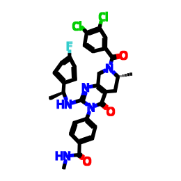 CNC(=O)c1ccc(-n2c(N[C@@H](C)c3ccc(F)cc3)nc3c(c2=O)C[C@@H](C)N(C(=O)c2ccc(Cl)c(Cl)c2)C3)cc1